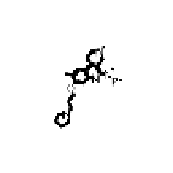 Cc1cc2c3c(c(N(C)C(C)C)nc2cc1OCCCN1CCCC1)CN(C)CC3